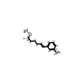 CC(C)O[C@@H](C)CCC/C=C/c1cccc(C(C)C)c1